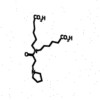 O=C(O)CCCCCN(CCCCCC(=O)O)C(=O)CCN1CCCC1